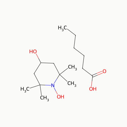 CC1(C)CC(O)CC(C)(C)N1O.CCCCCC(=O)O